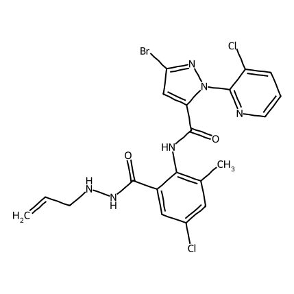 C=CCNNC(=O)c1cc(Cl)cc(C)c1NC(=O)c1cc(Br)nn1-c1ncccc1Cl